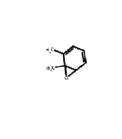 CC1=CC=CC2OC12C